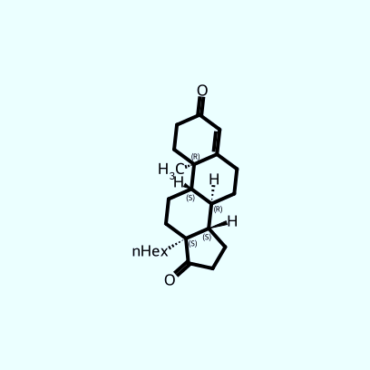 CCCCCC[C@]12CC[C@H]3[C@@H](CCC4=CC(=O)CC[C@@]43C)[C@@H]1CCC2=O